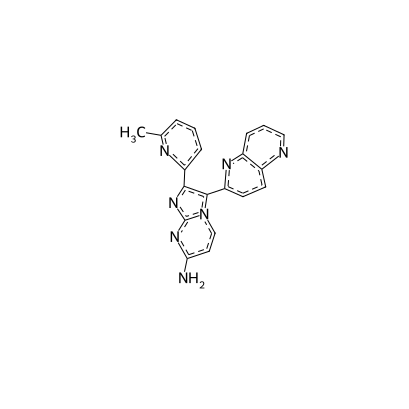 Cc1cccc(-c2nc3nc(N)ccn3c2-c2ccc3ncccc3n2)n1